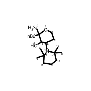 CCCCC1([SiH3])OCCC(N2C(C)(C)CCCC2(C)C)C1O